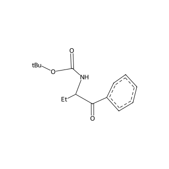 CCC(NC(=O)OC(C)(C)C)C(=O)c1ccccc1